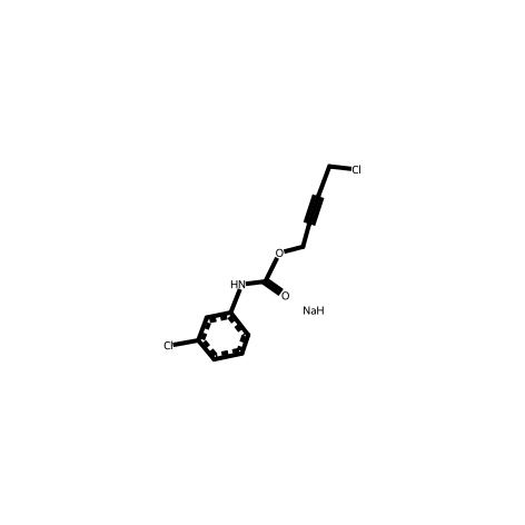 O=C(Nc1cccc(Cl)c1)OCC#CCCl.[NaH]